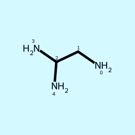 NCC(N)N